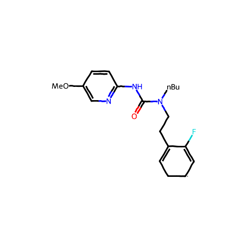 CCCCN(CCC1=CC[CH]C=C1F)C(=O)Nc1ccc(OC)cn1